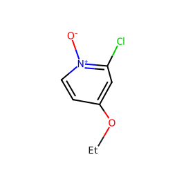 CCOc1cc[n+]([O-])c(Cl)c1